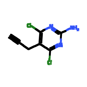 C#CCc1c(Cl)nc(N)nc1Cl